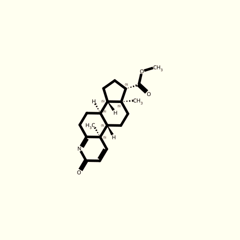 COC(=O)[C@H]1CC[C@H]2[C@@H]3CCC4=NC(=O)C=C[C@]4(C)[C@H]3CC[C@]12C